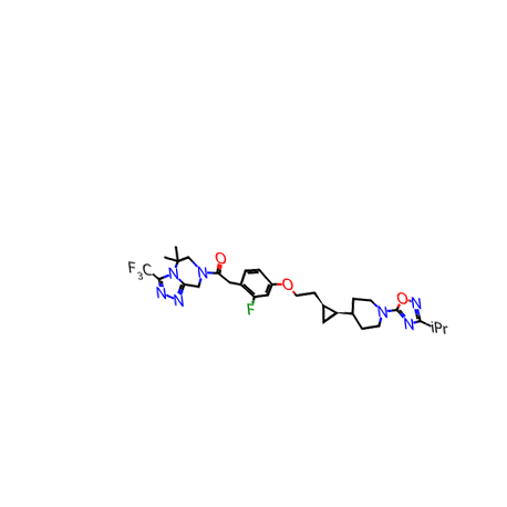 CC(C)c1noc(N2CCC([C@H]3C[C@H]3CCOc3ccc(CC(=O)N4Cc5nnc(C(F)(F)F)n5C(C)(C)C4)c(F)c3)CC2)n1